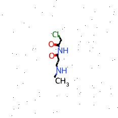 CCNCCC(=O)NC(=O)CCl